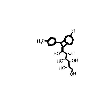 Cc1ccc(C2C(=C(O)[C@H](O)[C@@H](O)[C@H](O)[C@H](O)CO)c3ccc(Cl)cc32)cc1